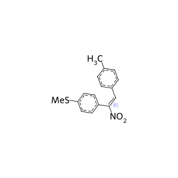 CSc1ccc(/C(=C\c2ccc(C)cc2)[N+](=O)[O-])cc1